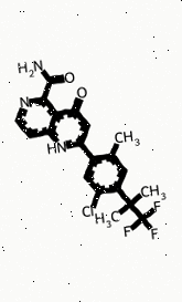 Cc1cc(C(C)(C)C(F)(F)F)c(Cl)cc1-c1cc(=O)c2c(C(N)=O)nccc2[nH]1